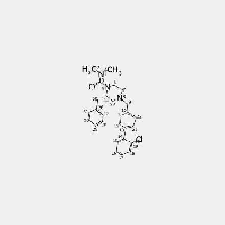 CN(C)C(=O)N1CCN(Cc2ccc(-c3ccccc3Cl)cc2)C[C@@H]1Cc1ccccc1